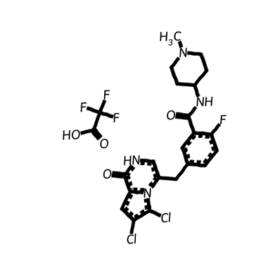 CN1CCC(NC(=O)c2cc(Cc3c[nH]c(=O)c4cc(Cl)c(Cl)n34)ccc2F)CC1.O=C(O)C(F)(F)F